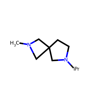 CC(C)N1CCC2(CN(C)C2)C1